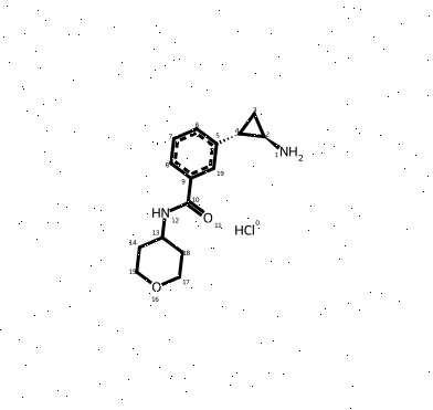 Cl.N[C@@H]1C[C@H]1c1cccc(C(=O)NC2CCOCC2)c1